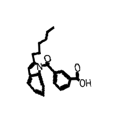 CCCCCCc1cc2ccccc2n1C(=O)c1cccc(C(=O)O)c1